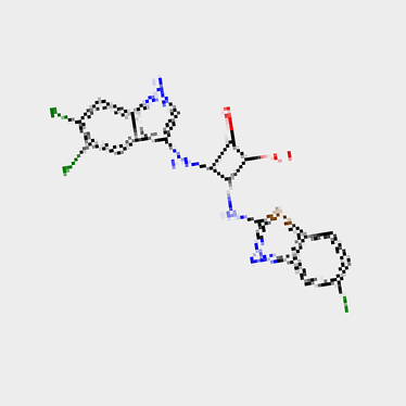 O=C1C(O)C(Nc2nc3cc(F)ccc3s2)C1Nc1c[nH]c2cc(F)c(F)cc12